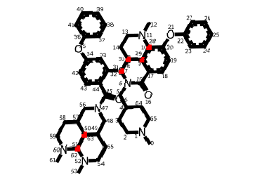 CN1CCC(CN(CC2CCN(C)CC2)C(=O)c2ccc(Oc3ccccc3)cc2SSc2cc(Oc3ccccc3)ccc2C(=O)N(CC2CCN(C)CC2)CC2CCN(C)CC2)CC1